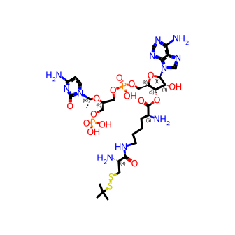 C[C@@H](O[C@H](COP(=O)(O)O)COP(=O)(O)OC[C@H]1O[C@@H](n2cnc3c(N)ncnc32)[C@H](O)[C@@H]1OC(=O)[C@@H](N)CCCCNC(=O)[C@@H](N)CSSC(C)(C)C)n1ccc(N)nc1=O